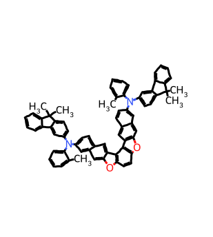 Cc1ccccc1N(c1ccc2c(c1)-c1ccccc1C2(C)C)c1ccc2cc3c(cc2c1)oc1ccc2oc4cc5cc(N(c6ccc7c(c6)-c6ccccc6C7(C)C)c6ccccc6C)ccc5cc4c2c13